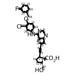 O=C(O)N1C(C#Cc2cc3ncnc(Nc4ccc(OCc5cccc(F)c5)c(Cl)c4)c3s2)CC[C@H]1CO